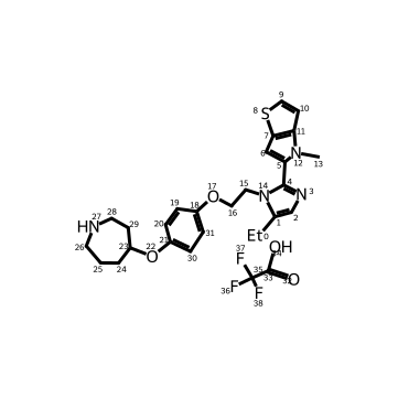 CCc1cnc(-c2cc3sccc3n2C)n1CCOc1ccc(OC2CCCNCC2)cc1.O=C(O)C(F)(F)F